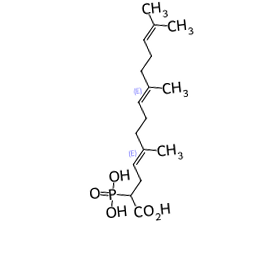 CC(C)=CCC/C(C)=C/CC/C(C)=C/CC(C(=O)O)P(=O)(O)O